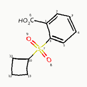 O=C(O)c1ccccc1S(=O)(=O)C1CCC1